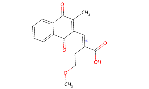 COCC/C(=C\C1=C(C)C(=O)c2ccccc2C1=O)C(=O)O